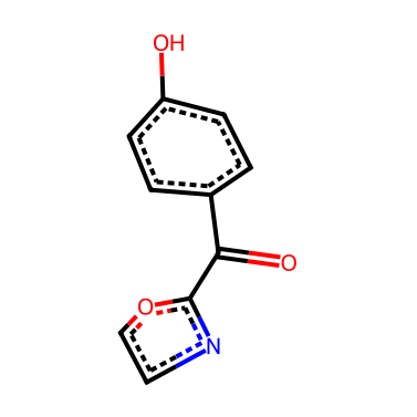 O=C(c1ccc(O)cc1)c1ncco1